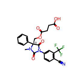 CN1C(=O)N(c2ccc(C#N)c(C(F)(F)F)c2)C(=O)[C@@]1(COC(=O)CCC(=O)O)c1ccccc1